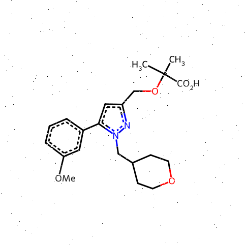 COc1cccc(-c2cc(COC(C)(C)C(=O)O)nn2CC2CCOCC2)c1